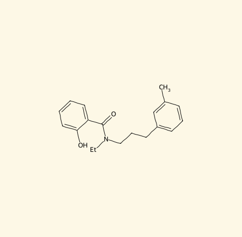 CCN(CCCc1cccc(C)c1)C(=O)c1ccccc1O